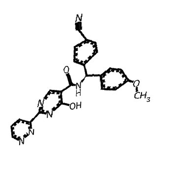 COc1ccc([C@@H](NC(=O)c2cnc(-c3cccnn3)nc2O)c2ccc(C#N)cc2)cc1